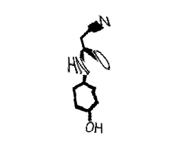 N#CCC(=O)NC1CCC(O)CC1